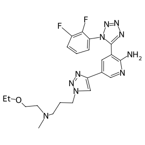 CCOCCN(C)CCCn1cc(-c2cnc(N)c(-c3nnnn3-c3cccc(F)c3F)c2)nn1